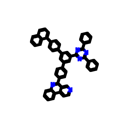 c1ccc(-c2nc(-c3ccccc3)nc(-c3cc(-c4ccc(-c5cccc6ccccc56)cc4)cc(-c4ccc(-c5nc6ccccc6c6ccncc56)cc4)c3)n2)cc1